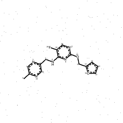 Cc1cnc(CNc2nc(OCc3ccco3)ncc2F)cn1